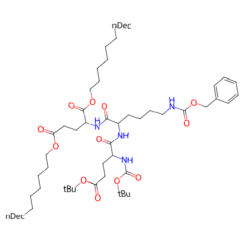 CCCCCCCCCCCCCCCCOC(=O)CCC(NC(=O)C(CCCCNC(=O)OCc1ccccc1)NC(=O)C(CCC(=O)OC(C)(C)C)NC(=O)OC(C)(C)C)C(=O)OCCCCCCCCCCCCCCCC